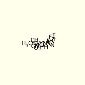 CC(C)(C)OC(=O)N1C[C@@H]2CC1CN2c1cncc(C(F)(F)F)n1